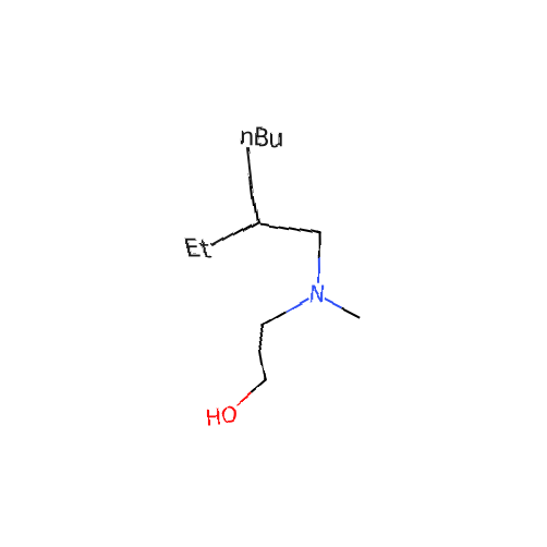 CCCCC(CC)CN(C)CCO